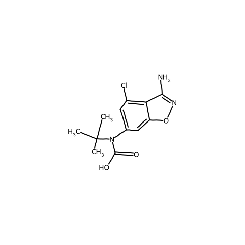 CC(C)(C)N(C(=O)O)c1cc(Cl)c2c(N)noc2c1